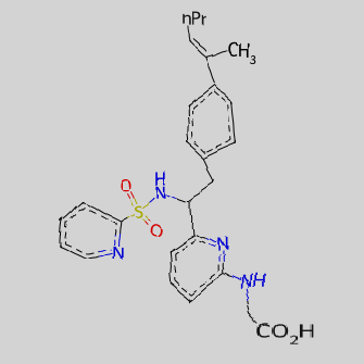 CCCC=C(C)c1ccc(CC(NS(=O)(=O)c2ccccn2)c2cccc(NCC(=O)O)n2)cc1